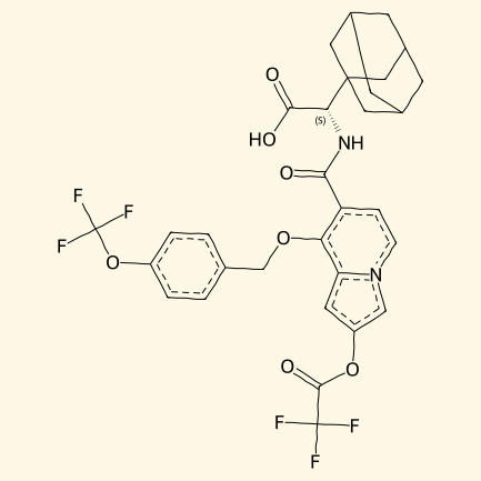 O=C(N[C@H](C(=O)O)C12CC3CC(CC(C3)C1)C2)c1ccn2cc(OC(=O)C(F)(F)F)cc2c1OCc1ccc(OC(F)(F)F)cc1